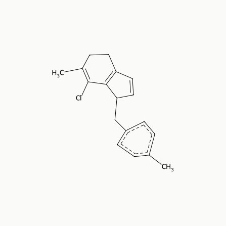 CC1=C(Cl)C2=C(C=CC2Cc2ccc(C)cc2)CC1